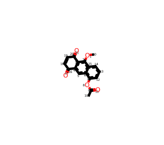 COc1c2c(cc3c(OC(C)=O)cccc13)C(=O)C=CC2=O